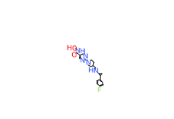 O=C(NO)c1cnc(N2CCC(CNC3CC3c3ccc(F)cc3)CC2)nc1